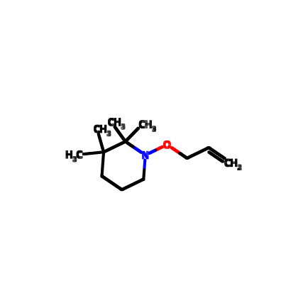 C=CCON1CCCC(C)(C)C1(C)C